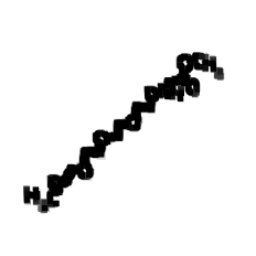 COCCOCCOCCOCCONCC(=O)OC